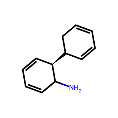 NC1C=CC=C[C@H]1C1C=CC=CC1